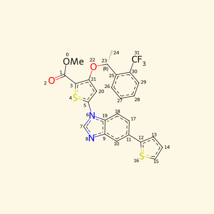 COC(=O)c1sc(-n2cnc3cc(-c4cccs4)ccc32)cc1O[C@H](C)c1ccccc1C(F)(F)F